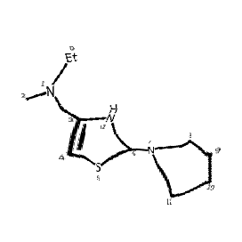 CCN(C)C1=CSC(N2CCCC2)N1